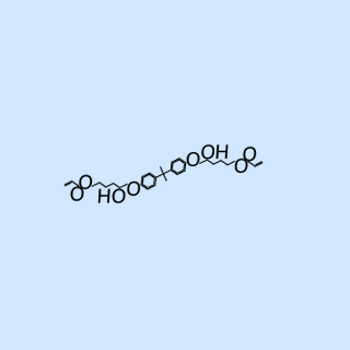 C=CC(=O)OCCCCC(O)COc1ccc(C(C)(C)c2ccc(OCC(O)CCCCOC(=O)C=C)cc2)cc1